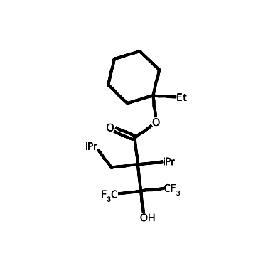 CCC1(OC(=O)C(CC(C)C)(C(C)C)C(O)(C(F)(F)F)C(F)(F)F)CCCCC1